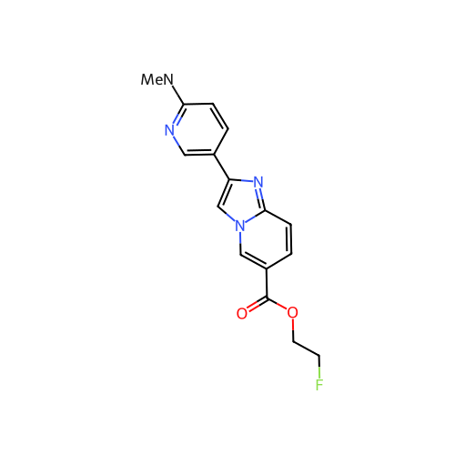 CNc1ccc(-c2cn3cc(C(=O)OCCF)ccc3n2)cn1